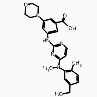 Cc1ccc(CO)cc1N(C)c1ccnc(Nc2cc(C(=O)O)cc(N3CCOCC3)c2)n1